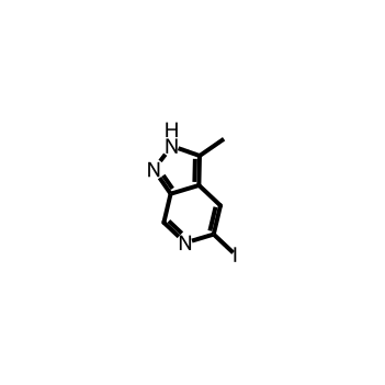 Cc1[nH]nc2cnc(I)cc12